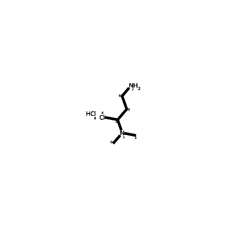 CN(C)C(Cl)CCN.Cl